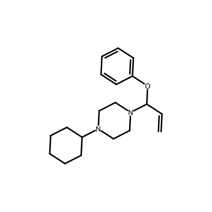 C=CC(Oc1ccccc1)N1CCN(C2CCCCC2)CC1